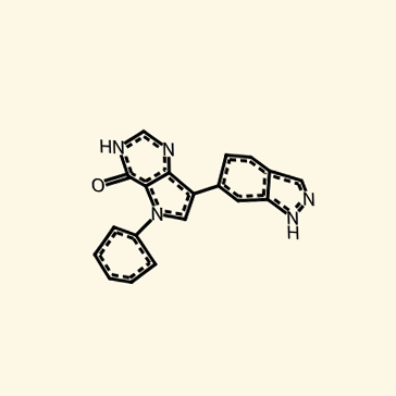 O=c1[nH]cnc2c(-c3ccc4cn[nH]c4c3)cn(-c3ccccc3)c12